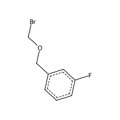 Fc1cccc(COCBr)c1